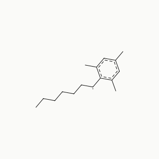 CCCCCC[CH]c1c(C)cc(C)cc1C